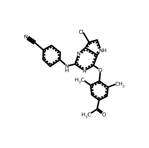 CC(=O)c1cc(C)c(Oc2nc(Nc3ccc(C#N)cc3)nc3c(Cl)c[nH]c23)c(C)c1